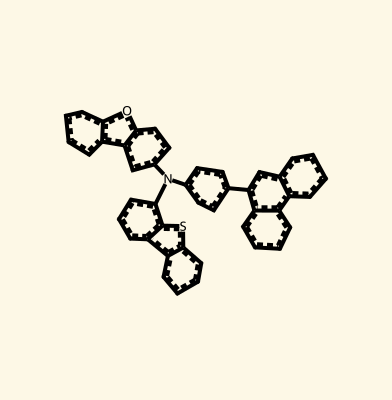 c1ccc2c(c1)cc(-c1ccc(N(c3ccc4oc5ccccc5c4c3)c3cccc4c3sc3ccccc34)cc1)c1ccccc12